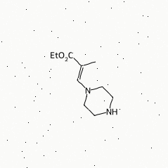 CCOC(=O)C(C)=CN1CCNCC1